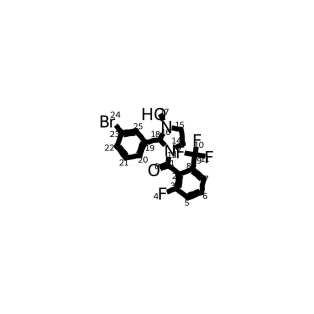 O=C(c1c(F)cccc1C(F)(F)F)N1CCN(O)C1c1cccc(Br)c1